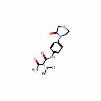 CCN(CC)[C@H](C(N)=O)C(=O)Nc1ccc(N2CCOCC2=O)cc1